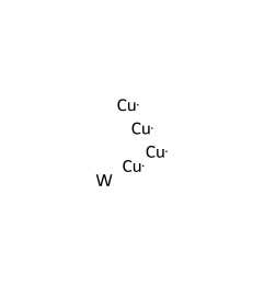 [Cu].[Cu].[Cu].[Cu].[W]